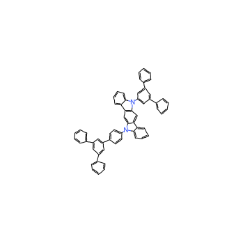 c1ccc(-c2cc(-c3ccccc3)cc(-c3ccc(-n4c5ccccc5c5cc6c(cc54)c4ccccc4n6-c4cc(-c5ccccc5)cc(-c5ccccc5)c4)cc3)c2)cc1